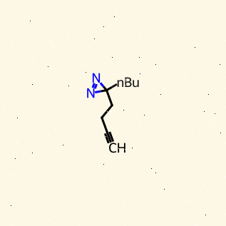 C#CCCC1(CCCC)N=N1